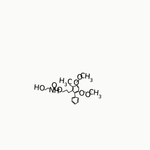 CCc1c(OCOC)cc(OCOC)c(-c2ccccc2)c1CCCOCC(=O)NCCO